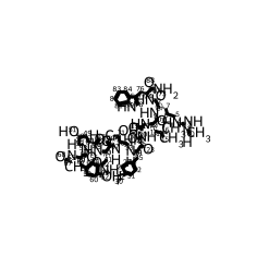 CNC(=N)NCCC[C@H](NC(=O)[C@H](CC(C)C)NC(=O)NNC(=O)[C@H](Cc1ccc(F)cc1)NC(=O)C(NC(=O)[C@H](CC(N)=O)NC(=O)[C@@H]1C[C@@H](O)CN1C(=O)[C@@H](Cc1ccc(O)cc1)NC(C)=O)[C@@H](C)O)C(=O)N[C@@H](Cc1c[nH]c2ccccc12)C(N)=O